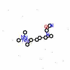 c1ccc(-c2nc(-c3ccccc3)nc(-n3c4ccccc4c4cc(-c5ccc6cc(-c7ccc8c9ccccc9n(-c9ccc%10oc%11ccncc%11c%10c9)c8c7)ccc6c5)ccc43)n2)cc1